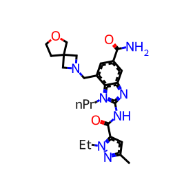 CCCn1c(NC(=O)c2cc(C)nn2CC)nc2cc(C(N)=O)cc(CN3CC4(CCOC4)C3)c21